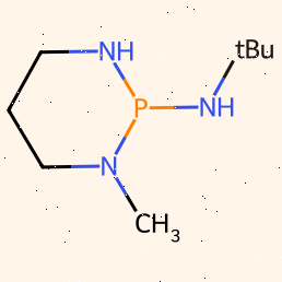 CN1CCCNP1NC(C)(C)C